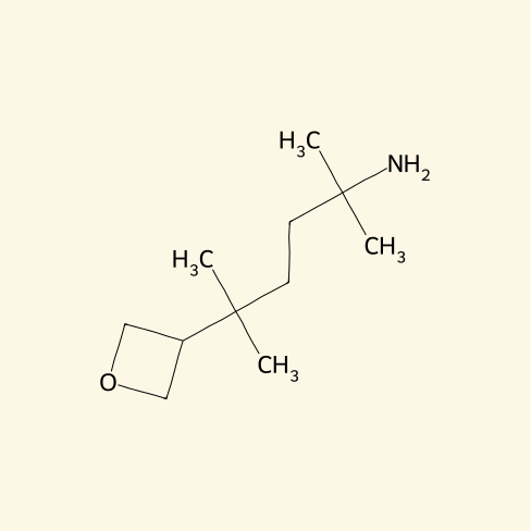 CC(C)(N)CCC(C)(C)C1COC1